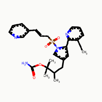 Cc1cccnc1-c1cc(CC(C)C(C)(C)OC(N)=O)cn1S(=O)(=O)CC=Cc1cccnc1